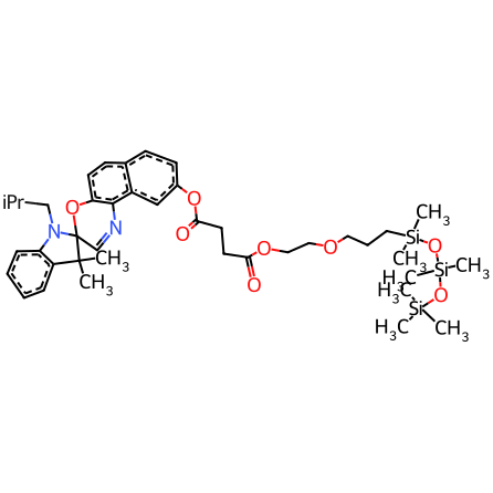 CC(C)CN1c2ccccc2C(C)(C)C12C=Nc1c(ccc3ccc(OC(=O)CCC(=O)OCCOCCC[Si](C)(C)O[Si](C)(C)O[Si](C)(C)C)cc13)O2